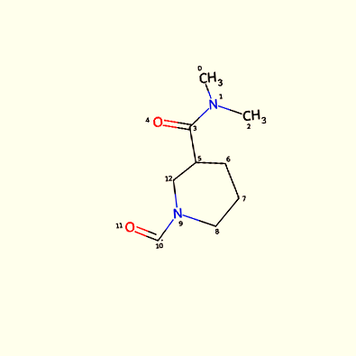 CN(C)C(=O)C1CCCN([C]=O)C1